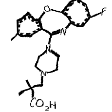 Cc1ccc2c(c1)C(N1CCN(CC(C)(C)C(=O)O)CC1)=Nc1cc(F)ccc1O2